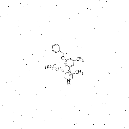 CC(=O)O.C[C@H]1CNCCN1c1cc(C(F)(F)F)cc(OCc2ccccc2)n1